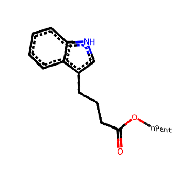 CCCCCOC(=O)CCCc1c[nH]c2ccccc12